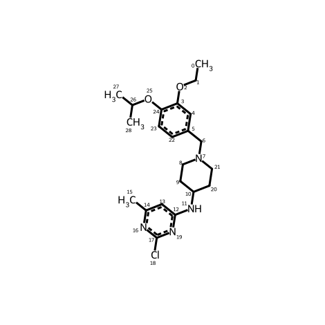 CCOc1cc(CN2CCC(Nc3cc(C)nc(Cl)n3)CC2)ccc1OC(C)C